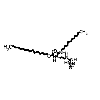 CCCCCCCCCCCCCCCCOC(=O)N[C@@H](CCCNC(=N)N[N+](=O)[O-])C(=O)NCCCCCCCCCCCC